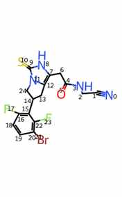 N#CCNC(=O)Cc1[nH]c(=S)n2c1CC(c1c(F)ccc(Br)c1F)C2